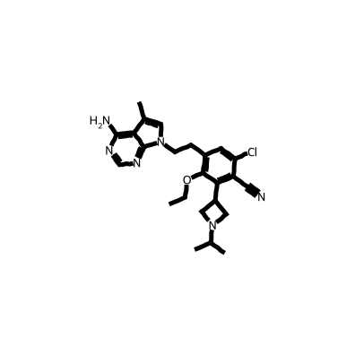 CCOc1c(CCn2cc(C)c3c(N)ncnc32)cc(Cl)c(C#N)c1C1CN(C(C)C)C1